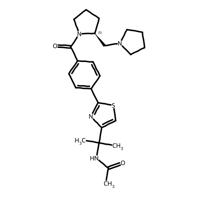 CC(=O)NC(C)(C)c1csc(-c2ccc(C(=O)N3CCC[C@H]3CN3CCCC3)cc2)n1